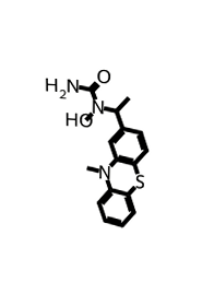 CC(c1ccc2c(c1)N(C)c1ccccc1S2)N(O)C(N)=O